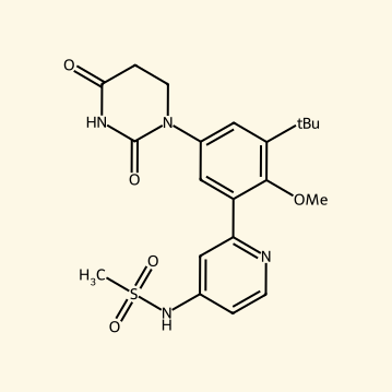 COc1c(-c2cc(NS(C)(=O)=O)ccn2)cc(N2CCC(=O)NC2=O)cc1C(C)(C)C